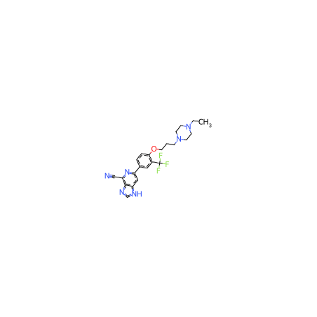 CCN1CCN(CCCOc2ccc(-c3cc4[nH]cnc4c(C#N)n3)cc2C(F)(F)F)CC1